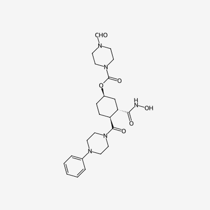 O=CN1CCN(C(=O)O[C@@H]2CC[C@H](C(=O)N3CCN(c4ccccc4)CC3)[C@@H](C(=O)NO)C2)CC1